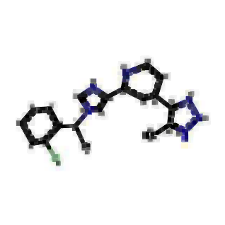 CCC(c1ccccc1Cl)n1cnc(-c2cc(-c3nn[nH]c3C)ccn2)c1